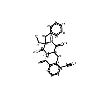 C=Cc1cccc(C#N)c1CC1C(=O)NC(CC)(Cc2ccccc2)C(=O)N1C